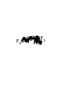 Cc1ccnc(NC(=O)c2cnc3cc(C4OCC4(C)COc4cccc(NC(=O)c5cnc6ccc(-c7ccccc7OC(F)(F)F)nn56)n4)c(-c4ccccc4OC(F)(F)F)nn23)n1